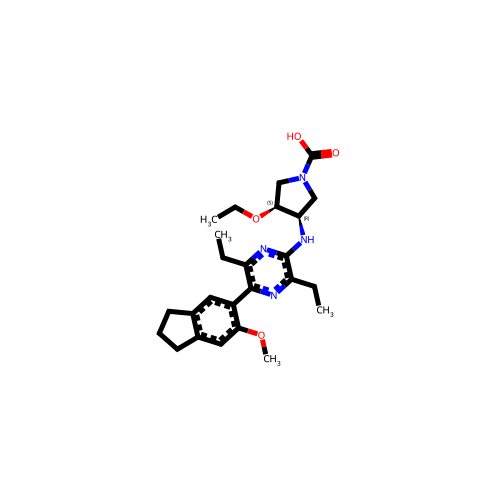 CCO[C@H]1CN(C(=O)O)C[C@H]1Nc1nc(CC)c(-c2cc3c(cc2OC)CCC3)nc1CC